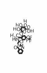 C[C@H](NC(=O)Cn1nnc2ccccc2c1=O)c1ccc(OC(F)(F)F)cc1O[C@H]1O[C@H](C(=O)O)[C@@H](O)[C@H](O)[C@H]1O